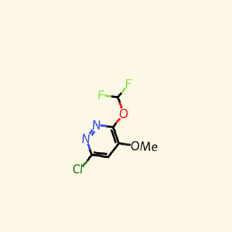 COc1cc(Cl)nnc1OC(F)F